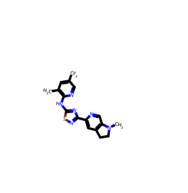 Cc1cc(C(F)(F)F)cnc1Nc1nc(-c2cc3c(cn2)N(C)CC3)ns1